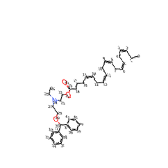 CC/C=C\C/C=C\C/C=C\C/C=C\C/C=C\CCCC(=O)OCCN(CC)CCOC(c1ccccc1)c1ccccc1